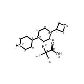 C1CC(N2CCN(C3COC3)CC2)CCN1.O=C(O)C(F)(F)F